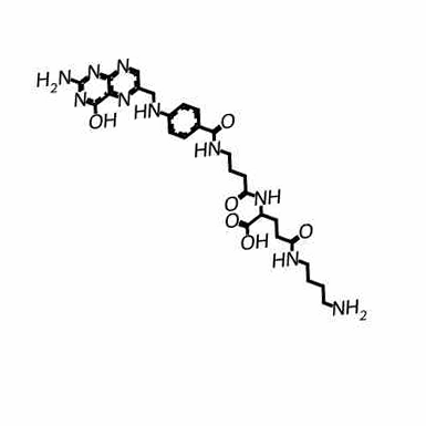 NCCCCNC(=O)CCC(NC(=O)CCCNC(=O)c1ccc(NCc2cnc3nc(N)nc(O)c3n2)cc1)C(=O)O